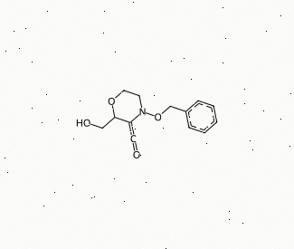 O=C=C1C(CO)OCCN1OCc1ccccc1